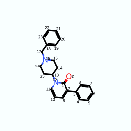 O=c1c(-c2ccccc2)cccn1C1CCN(Cc2ccccc2)CC1